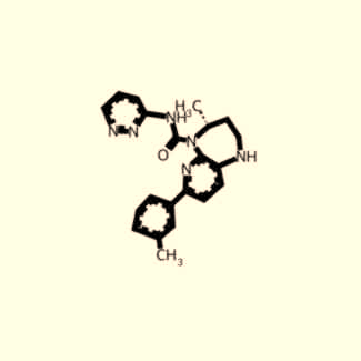 Cc1cccc(-c2ccc3c(n2)N(C(=O)Nc2cccnn2)[C@H](C)CCN3)c1